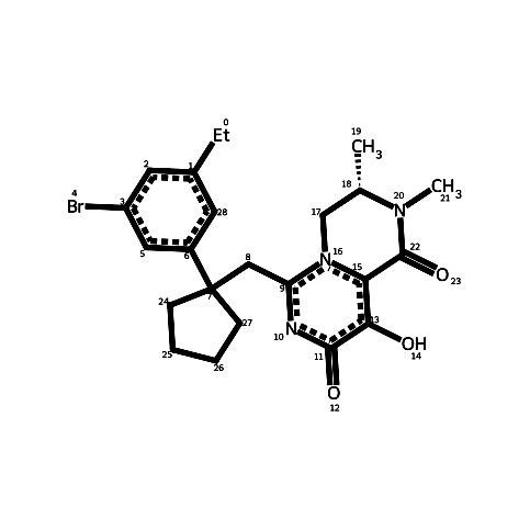 CCc1cc(Br)cc(C2(Cc3nc(=O)c(O)c4n3C[C@H](C)N(C)C4=O)CCCC2)c1